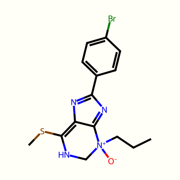 CCC[N+]1([O-])CNC(SC)=C2N=C(c3ccc(Br)cc3)N=C21